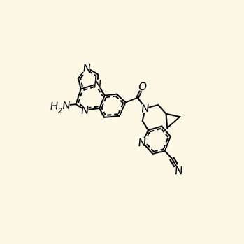 N#Cc1ccc(CN(CC2CC2)C(=O)c2ccc3nc(N)c4cncn4c3c2)nc1